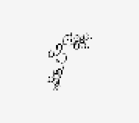 CCC(C[Si](OC)(OC)OB(OC)OC)OC1CCC(COC[SiH](OC)OC)CC1OC